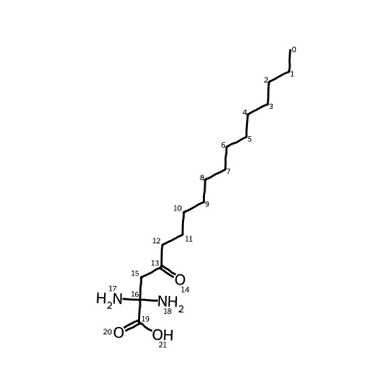 CCCCCCCCCCCCCC(=O)CC(N)(N)C(=O)O